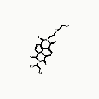 CCC(CO)N1C(=O)c2ccc3c4c(ccc(c24)C1=O)C(=O)N(CCOCCO)C3=O